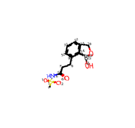 CS(=O)(=O)NC(=O)CCc1cccc2c1B(O)OC2